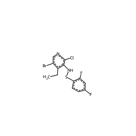 CCc1c(Br)cnc(Cl)c1NSc1ccc(F)cc1F